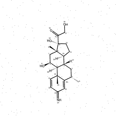 C[C@H]1C[C@@H]2[C@H]([C@@H](O)C[C@@]3(C)[C@H]2CC[C@]3(O)C(=O)CO)[C@@]2(C)C=CC(=N)C=C12